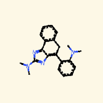 CN(C)C1=NC2=C(c3ccccc3N(C)C)Cc3ccccc3C2=N1